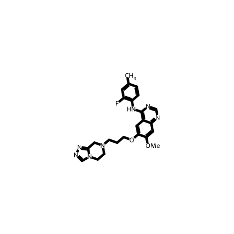 COc1cc2ncnc(Nc3ccc(C)cc3F)c2cc1OCCCN1CCn2cnnc2C1